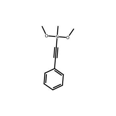 CO[Si](C)(C#Cc1ccccc1)OC